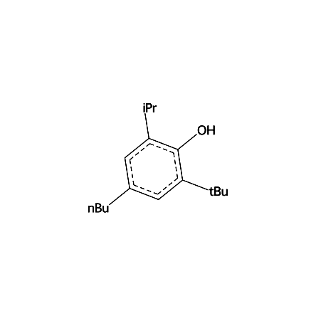 CCCCc1cc(C(C)C)c(O)c(C(C)(C)C)c1